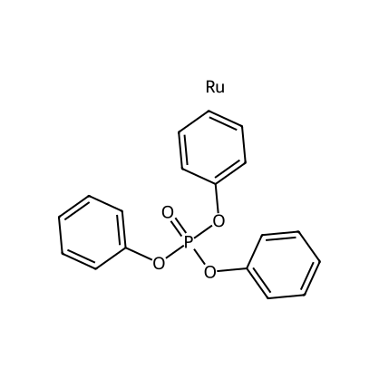 O=P(Oc1ccccc1)(Oc1ccccc1)Oc1ccccc1.[Ru]